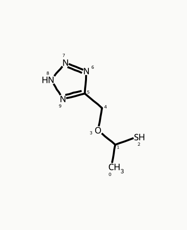 CC(S)OCc1nn[nH]n1